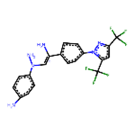 N/C(=C\N(N)c1ccc(N)cc1)c1ccc(-n2nc(C(F)(F)F)cc2C(F)(F)F)cc1